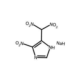 O=[N+]([O-])c1nc[nH]c1C([N+](=O)[O-])[N+](=O)[O-].[NaH]